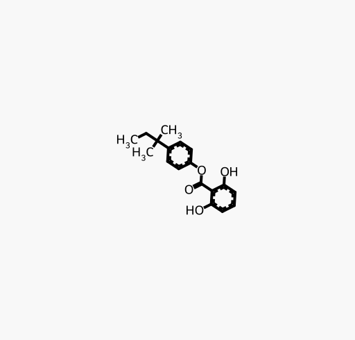 CCC(C)(C)c1ccc(OC(=O)c2c(O)cccc2O)cc1